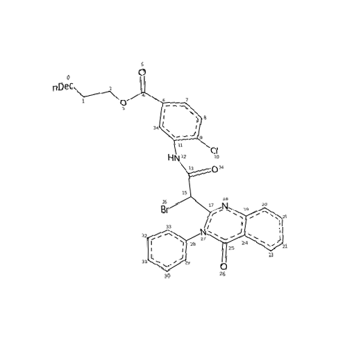 CCCCCCCCCCCCOC(=O)c1ccc(Cl)c(NC(=O)C(Br)c2nc3ccccc3c(=O)n2-c2ccccc2)c1